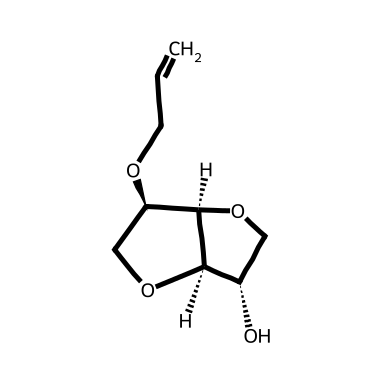 C=CCO[C@@H]1CO[C@H]2[C@@H]1OC[C@@H]2O